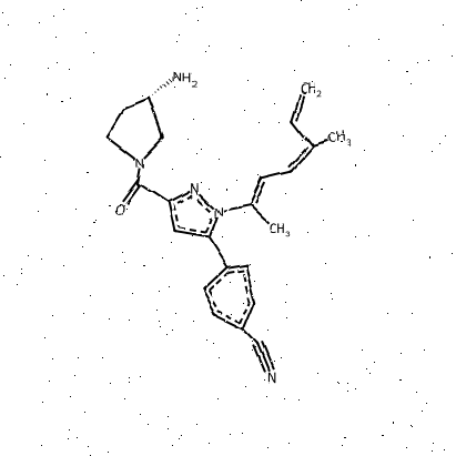 C=C/C(C)=C\C=C(/C)n1nc(C(=O)N2CC[C@H](N)C2)cc1-c1ccc(C#N)cc1